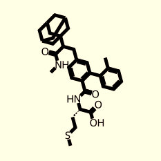 CNC(=O)C(Cc1ccc(C(=O)N[C@@H](CCSC)C(=O)O)c(-c2ccccc2C)c1)C12CC3CC(CC(C3)C1)C2